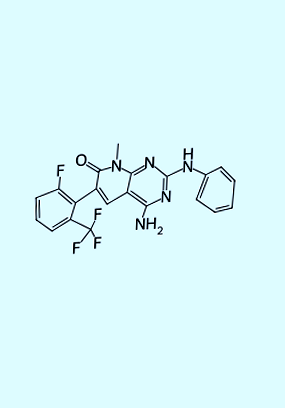 Cn1c(=O)c(-c2c(F)cccc2C(F)(F)F)cc2c(N)nc(Nc3ccccc3)nc21